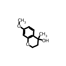 COc1ccc2c(c1)OCCC2(C)O